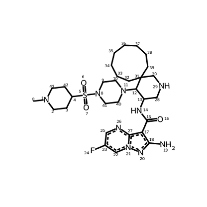 CN1CCC(S(=O)(=O)N2CCN(C3C(NC(=O)c4c(N)nn5cc(F)cnc45)CNCC34CCCCCCCC4)CC2)CC1